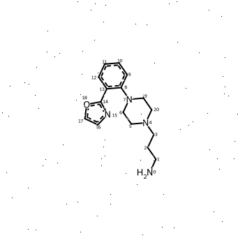 NCCCN1CCN(c2ccccc2-c2ncco2)CC1